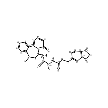 CC1CN(NC(=O)[C@H](C)NC(=O)CCc2ccc3c(c2)OCO3)C2C(=O)C=CC=C2c2ccccc21